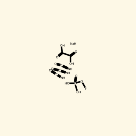 N=C=O.N=C=O.N=C=O.O=C(O)C(=O)O.O=P(O)(O)OF.[NaH]